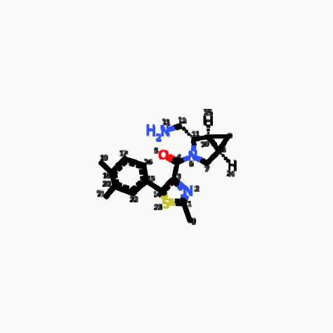 Cc1nc(C(=O)N2C[C@@H]3C[C@@H]3[C@H]2CN)c(-c2ccc(C)c(C)c2)s1